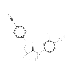 C[C@](O)(COc1ccc(C#N)cc1)C(=O)Nc1ccc([15N+]#[13C-])c(Cl)c1